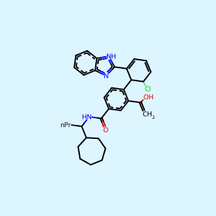 C=C(O)c1cc(C(=O)NC(CCC)C2CCCCCC2)ccc1C1C(c2nc3ccccc3[nH]2)=CC=C[C@@H]1Cl